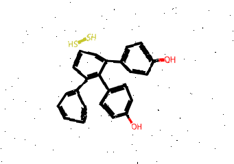 Oc1ccc(-c2cccc(-c3ccccc3)c2-c2ccc(O)cc2)cc1.SS